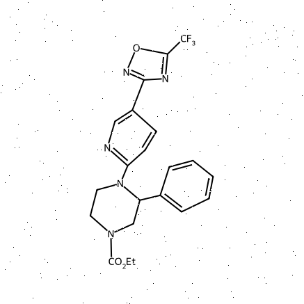 CCOC(=O)N1CCN(c2ccc(-c3noc(C(F)(F)F)n3)cn2)C(c2ccccc2)C1